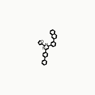 c1ccc(-c2ccc(-c3cc(-c4cccc(-c5ccc6ccccc6c5)c4)nc(-c4ccco4)n3)cc2)cc1